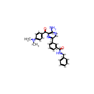 CN(C)c1ccc(C(=O)c2nc(-c3cccc(C(=O)NCc4ccccc4)c3)cnc2N)cc1